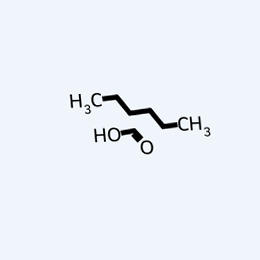 CCCCCC.O=CO